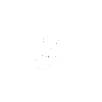 C[C@@H]1CN(C2(CN)CCCCC2)C[C@H](C)O1